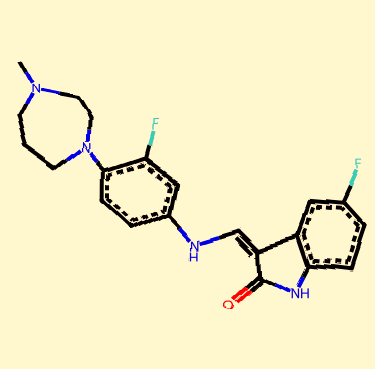 CN1CCCN(c2ccc(NC=C3C(=O)Nc4ccc(F)cc43)cc2F)CC1